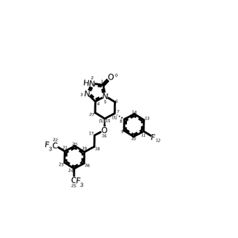 O=c1[nH]nc2n1C[C@H](c1ccc(F)cc1)[C@@H](OCCc1cc(C(F)(F)F)cc(C(F)(F)F)c1)C2